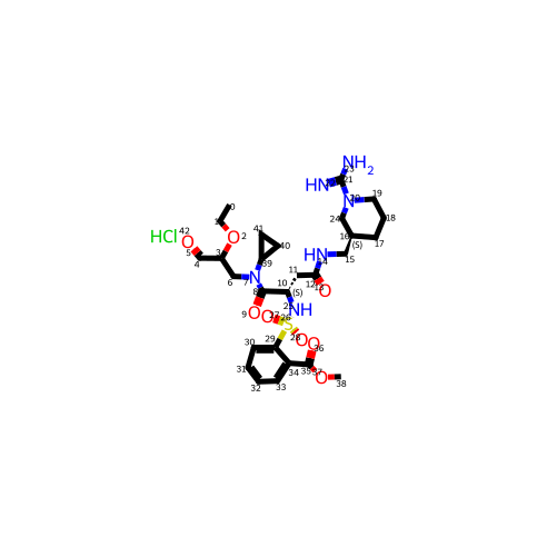 CCOC(C=O)CN(C(=O)[C@H](CC(=O)NC[C@@H]1CCCN(C(=N)N)C1)NS(=O)(=O)c1ccccc1C(=O)OC)C1CC1.Cl